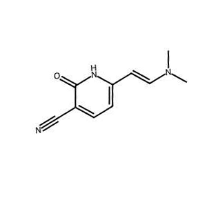 CN(C)/C=C/c1ccc(C#N)c(=O)[nH]1